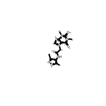 Cc1noc(C)c1NC(=O)Cn1cnc2c1c(=O)n(C)c(=O)n2C